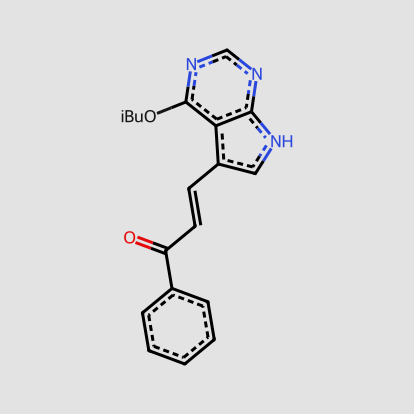 CC(C)COc1ncnc2[nH]cc(C=CC(=O)c3ccccc3)c12